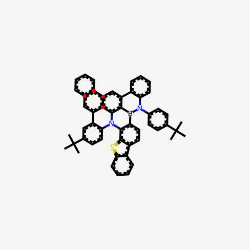 CC(C)(C)c1ccc(N2B3c4ccc5c(sc6ccccc65)c4N(c4ccc(C(C)(C)C)cc4-c4ccccc4)c4cc(-c5ccccc5)cc(c43)-c3ccccc32)cc1